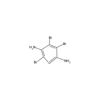 Nc1cc(Br)c(N)c(Br)c1Br